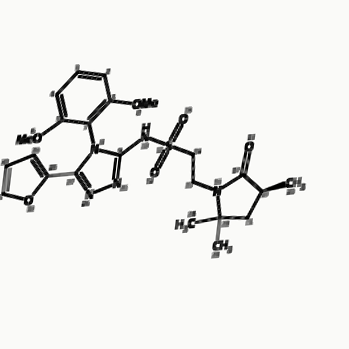 COc1cccc(OC)c1-n1c(NS(=O)(=O)CCN2C(=O)[C@@H](C)CC2(C)C)nnc1-c1ccco1